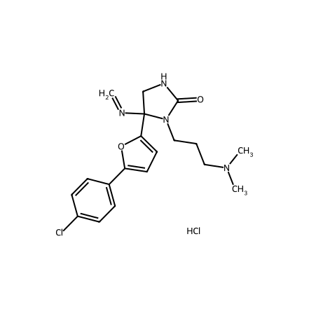 C=NC1(c2ccc(-c3ccc(Cl)cc3)o2)CNC(=O)N1CCCN(C)C.Cl